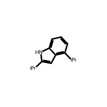 CC(C)c1cc2c(C(C)C)cccc2[nH]1